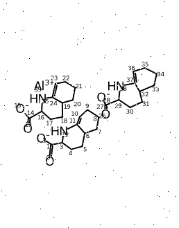 O=C([O-])C1CCC2CCCC=C2N1.O=C([O-])C1CCC2CCCC=C2N1.O=C([O-])C1CCC2CCCC=C2N1.[Al+3]